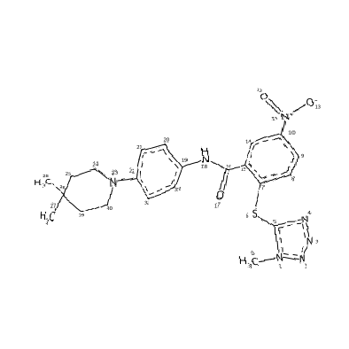 Cn1nnnc1Sc1ccc([N+](=O)[O-])cc1C(=O)Nc1ccc(N2CCC(C)(C)CC2)cc1